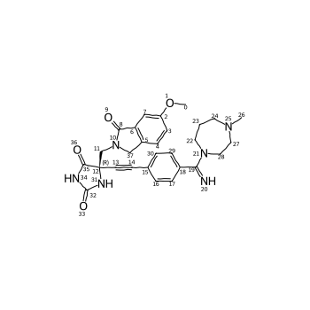 COc1ccc2c(c1)C(=O)N(C[C@@]1(C#Cc3ccc(C(=N)N4CCCN(C)CC4)cc3)NC(=O)NC1=O)C2